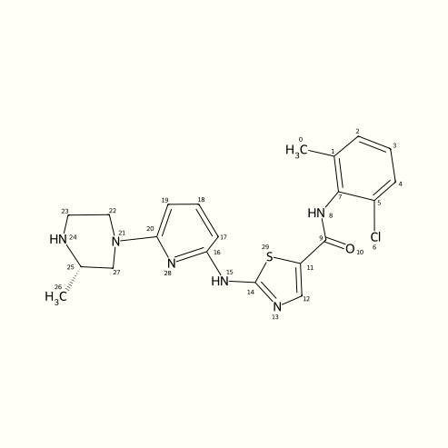 Cc1cccc(Cl)c1NC(=O)c1cnc(Nc2cccc(N3CCN[C@@H](C)C3)n2)s1